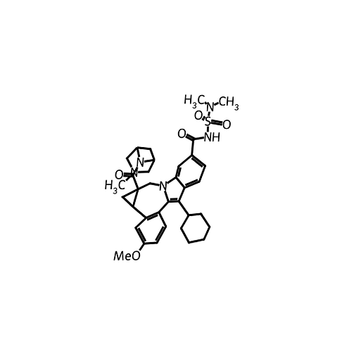 COc1ccc2c(c1)C1CC1(C(=O)N1C3CC1CN(C)C3)Cn1c-2c(C2CCCCC2)c2ccc(C(=O)NS(=O)(=O)N(C)C)cc21